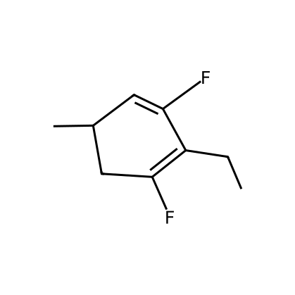 CCC1=C(F)CC(C)C=C1F